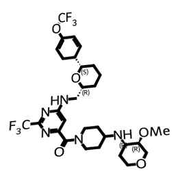 CO[C@H]1COCC[C@H]1NC1CCN(C(=O)c2cc(NC[C@H]3CCC[C@@H](C4C=CC(OC(F)(F)F)=CC4)O3)nc(C(F)(F)F)n2)CC1